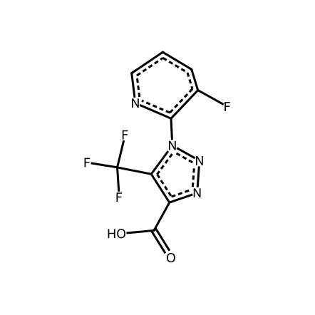 O=C(O)c1nnn(-c2ncccc2F)c1C(F)(F)F